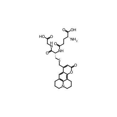 N[C@H](CCC(=O)N[C@H](CSCc1cc(=O)oc2c3c4c(cc12)CCCN4CCC3)C(=O)NCC(=O)O)C(=O)O